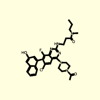 CCCN(C)C(=O)CCNc1nc(N2CCN(C(C)=O)CC2)c2cc(Cl)c(-c3cc(O)cc4ccccc34)c(F)c2n1